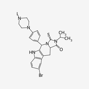 CC(C)N1C(=O)C2Cc3c([nH]c4ccc(Br)cc34)C(c3ccc(N4CCN(I)CC4)cc3)N2C1=S